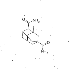 CC12CC3CC(CC(C(N)=O)(C3)C1)C2C(N)=O